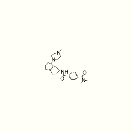 CN1CCN(c2cccc3c2CC(NC(=O)c2ccc(C(=O)N(C)C)cc2)CC3)CC1